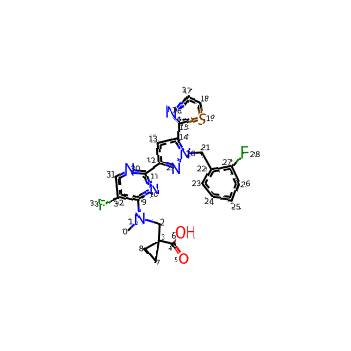 CN(CC1(C(=O)O)CC1)c1nc(-c2cc(-c3nccs3)n(Cc3ccccc3F)n2)ncc1F